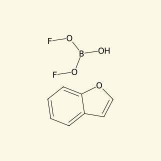 OB(OF)OF.c1ccc2occc2c1